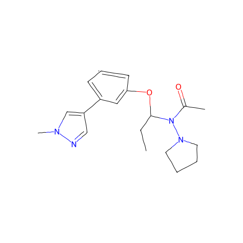 CCC(Oc1c[c]cc(-c2cnn(C)c2)c1)N(C(C)=O)N1CCCC1